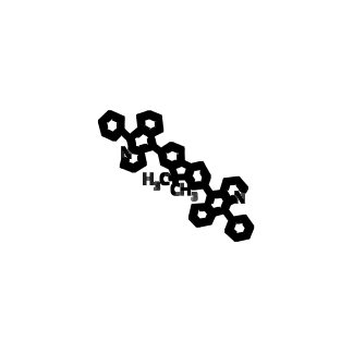 CC1(C)c2cc(-c3c4ccccc4c(-c4ccccc4)c4ncccc34)ccc2-c2ccc(-c3c4ccccc4c(-c4ccccc4)c4ncccc34)cc21